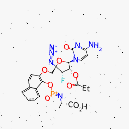 CCC(=O)O[C@H]1[C@H](n2ccc(N)nc2=O)O[C@@](COc2ccc3ccccc3c2O/[P+]([O-])=N/[C@@H](C)C(=O)O)(N=[N+]=[N-])[C@H]1F